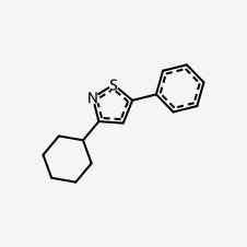 c1ccc(-c2cc(C3CCCCC3)ns2)cc1